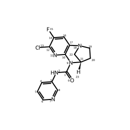 O=C(Nc1cccnc1)N1c2nc(Cl)c(F)cc2N2CC[C@H]1C2